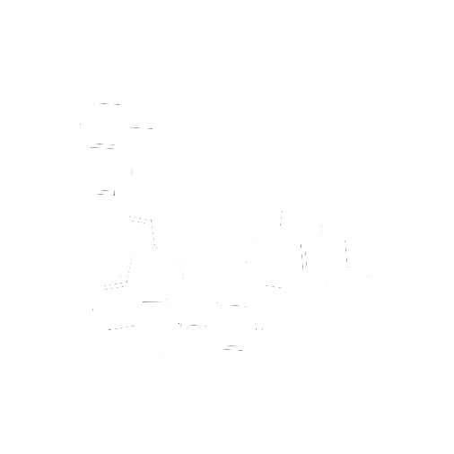 Cc1cccc(F)c1NC(=O)c1cc2c(s1)-c1ccccc1N(C(=O)c1cccc(N3CC[S+]([O-])c4ccc(F)cc4C3)n1)CC2